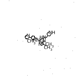 Cc1cccnc1-c1ccc(CNc2cc(NCC3CCNCC3)nc3c(C(C)C)cnn23)cc1